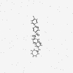 Cc1ccc(-c2ccc(C(=O)Nc3ccc4cc(CN5CCCCCC5)cnc4c3)cn2)cc1